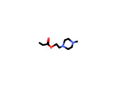 CCC(=O)OCCN1CCN(C)CC1